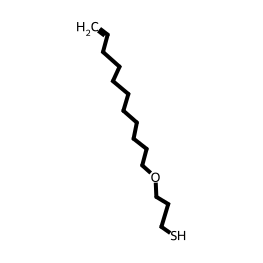 C=CCCCCCCCCCOCCCS